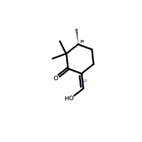 C[C@@H]1CC/C(=C/O)C(=O)C1(C)C